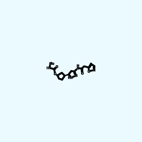 CC(C)(C)NC(=O)O[C@@H]1CC[C@H](C2CC(NC(=O)Cc3ccno3)=NN2)C1